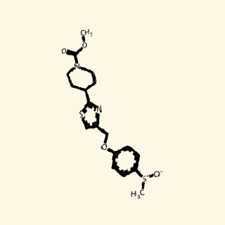 COC(=O)N1CCC(c2nc(COc3ccc([S+](C)[O-])cc3)cs2)CC1